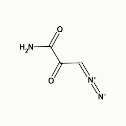 [N-]=[N+]=CC(=O)C(N)=O